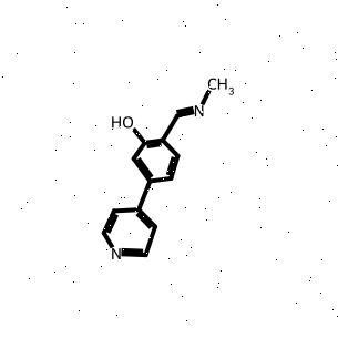 CN=Cc1ccc(-c2ccncc2)cc1O